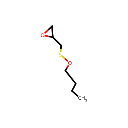 CCCCOSCC1CO1